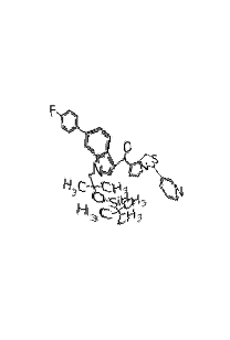 CC(C)(Cn1cc(C(=O)c2ccn3c2CSC3c2cccnc2)c2ccc(-c3ccc(F)cc3)cc21)O[SiH2]C(C)(C)C